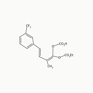 CCOC(=O)OC(OC(=O)O)=C(C)C=Cc1cccc(C(F)(F)F)c1